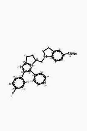 COc1ccc2c(c1)CCN2CC1CCc2nc(-c3ccc(F)cc3)c(-c3ccncc3)n21